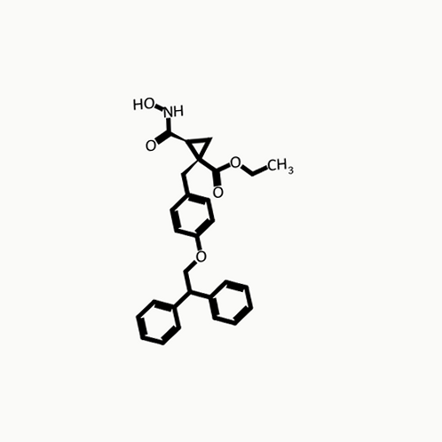 CCOC(=O)[C@@]1(Cc2ccc(OCC(c3ccccc3)c3ccccc3)cc2)C[C@@H]1C(=O)NO